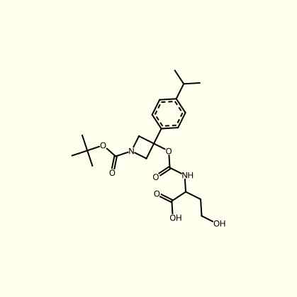 CC(C)c1ccc(C2(OC(=O)NC(CCO)C(=O)O)CN(C(=O)OC(C)(C)C)C2)cc1